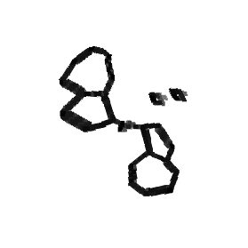 [Cl-].[Cl-].c1ccc2cc[c]([Zr+2][c]3ccc4cccccc3-4)c-2cc1